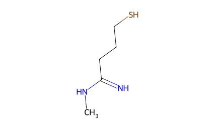 CNC(=N)CCCS